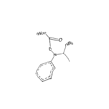 CCCCCCCCCC(=O)ON(c1ccccc1)C(C)CCCC